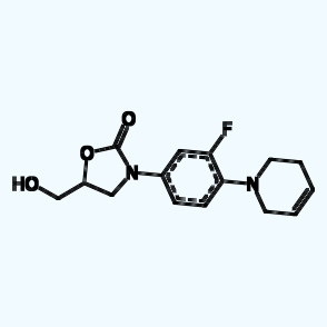 O=C1OC(CO)CN1c1ccc(N2CC=CCC2)c(F)c1